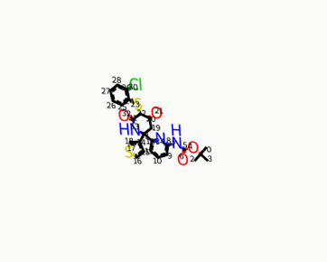 CC(C)(C)OC(=O)Nc1cccc(C2(c3ccsc3)CC(=O)C(Sc3ccccc3Cl)C(=O)N2)n1